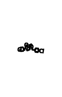 O=C1N(C2CCOCC2)CCC12CCCN2Cc1ccc(Cl)cc1